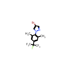 Cc1cc(C(F)(C(F)(F)F)C(F)(F)F)cc(C)c1-n1cc(Br)cn1